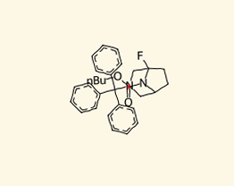 CCCCOC(=O)N1C2CCC1(F)CN(C(c1ccccc1)(c1ccccc1)c1ccccc1)C2